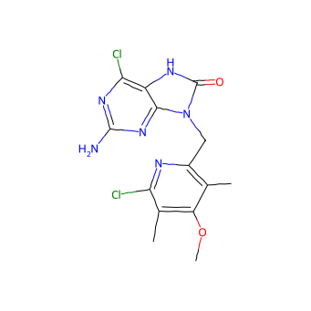 COc1c(C)c(Cl)nc(Cn2c(=O)[nH]c3c(Cl)nc(N)nc32)c1C